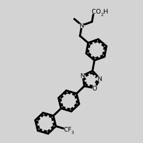 CN(CC(=O)O)Cc1cccc(-c2noc(-c3ccc(-c4ccccc4C(F)(F)F)cc3)n2)c1